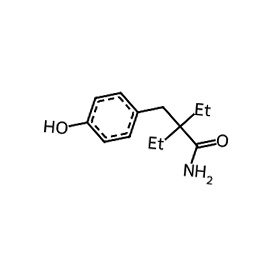 CCC(CC)(Cc1ccc(O)cc1)C(N)=O